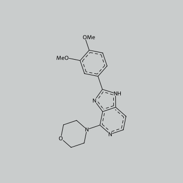 COc1ccc(-c2nc3c(N4CCOCC4)nccc3[nH]2)cc1OC